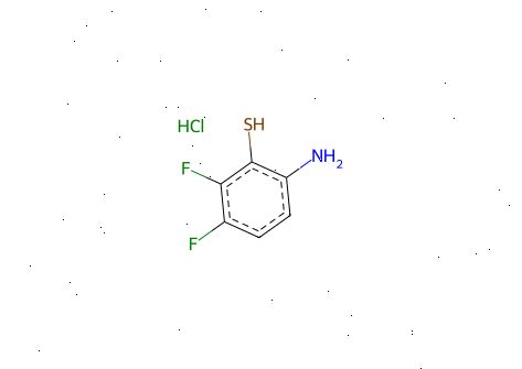 Cl.Nc1ccc(F)c(F)c1S